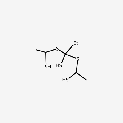 CCC(S)(SC(C)S)SC(C)S